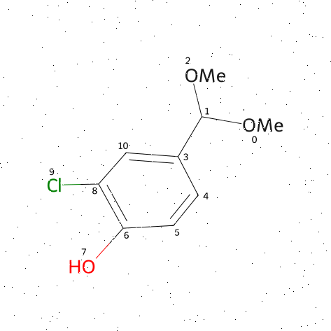 COC(OC)c1ccc(O)c(Cl)c1